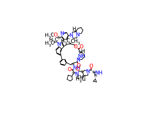 CCn1c(-c2cc(N3CCN4CCCC[C@@H]4C3)cnc2[C@H](C)OC)c2c3cc(ccc31)-c1cccc(c1)C[C@H](NC(=O)[C@H](C1CCCC1)N(C)C(=O)[C@H]1CN(C(=O)[C@@H]3N[C@@H]3C3CC3)C[C@H]1C)C(=O)N1CCC[C@H](N1)C(=O)OCC(C)(C)C2